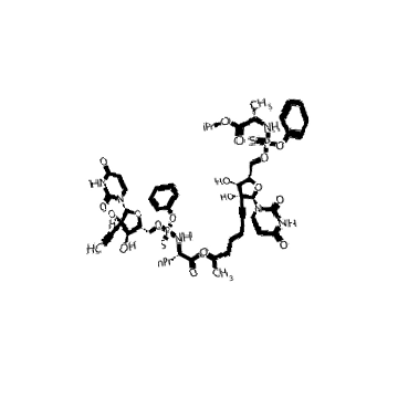 C#C[C@@]1(O)[C@H](O)[C@@H](COP(=S)(N[C@@H](CCC)C(=O)OC(C)CCCC#C[C@@]2(O)[C@H](O)[C@@H](COP(=S)(N[C@@H](C)C(=O)OC(C)C)Oc3ccccc3)O[C@H]2n2ccc(=O)[nH]c2=O)Oc2ccccc2)O[C@H]1n1ccc(=O)[nH]c1=O